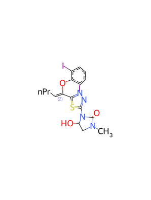 CCC/C=C(\Oc1c(I)cccc1I)c1nnc(N2C(=O)N(C)CC2O)s1